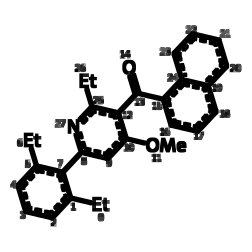 CCc1cccc(CC)c1-c1cc(OC)c(C(=O)c2cccc3ccccc23)c(CC)n1